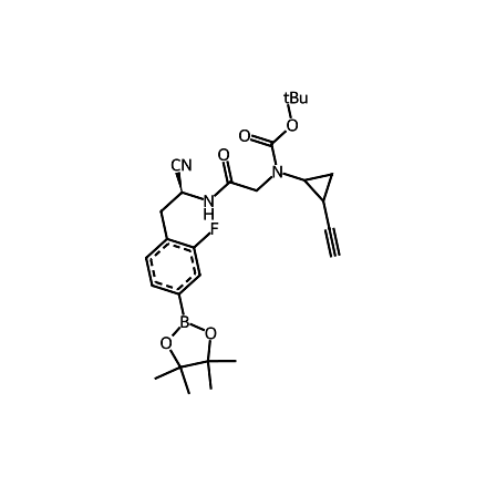 C#CC1CC1N(CC(=O)N[C@H](C#N)Cc1ccc(B2OC(C)(C)C(C)(C)O2)cc1F)C(=O)OC(C)(C)C